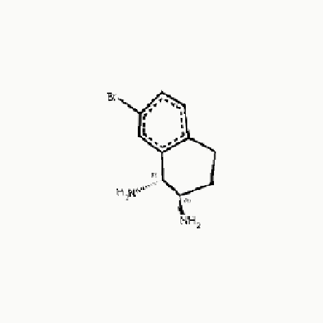 N[C@@H]1CCc2ccc(Br)cc2[C@H]1N